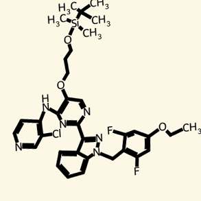 CCOc1cc(F)c(Cn2nc(-c3ncc(OCCCO[Si](C)(C)C(C)(C)C)c(Nc4ccncc4Cl)n3)c3ccccc32)c(F)c1